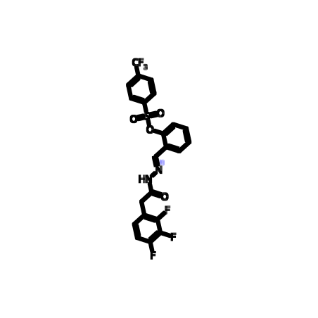 O=C(Cc1ccc(F)c(F)c1F)N/N=C/c1ccccc1OS(=O)(=O)c1ccc(C(F)(F)F)cc1